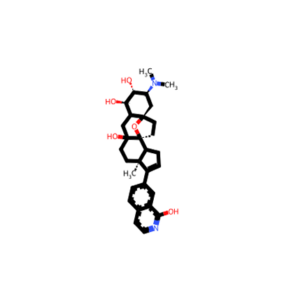 CN(C)[C@H]1C[C@@]23CC[C@]4(O2)C2CC=C(c5ccc6ccnc(O)c6c5)[C@@]2(C)CCC4(O)CC3[C@@H](O)[C@@H]1O